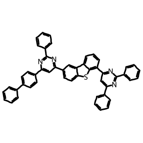 c1ccc(-c2ccc(-c3cc(-c4ccc5sc6c(-c7cc(-c8ccccc8)nc(-c8ccccc8)n7)cccc6c5c4)nc(-c4ccccc4)n3)cc2)cc1